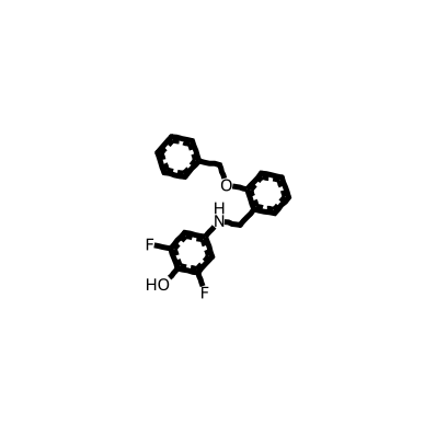 Oc1c(F)cc(NCc2ccccc2OCc2ccccc2)cc1F